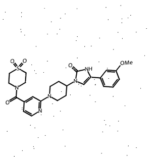 COc1cccc(-c2cn(C3CCN(c4cc(C(=O)N5CCS(=O)(=O)CC5)ccn4)CC3)c(=O)[nH]2)c1